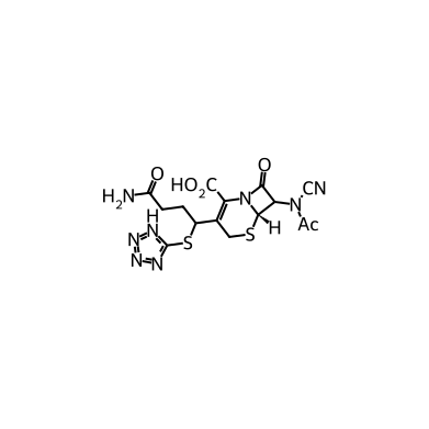 CC(=O)N(C#N)C1C(=O)N2C(C(=O)O)=C(C(CCC(N)=O)Sc3nnn[nH]3)CS[C@@H]12